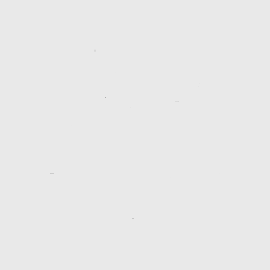 C=C(C)C(=O)OCC(CO)(CO)CO.O=C(O)CCCCCCC(=O)O.[KH]